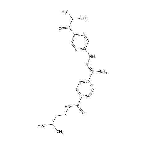 C/C(=N\Nc1ccc(C(=O)C(C)C)cn1)c1ccc(C(=O)NCCC(C)C)cc1